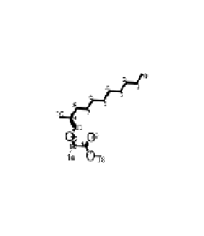 CCCCCCCCCC(C)=CO[C@@H](C)C(=O)OC